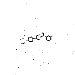 Cc1cccc(-c2cnn3cc(-c4ccc(N5CCNCC5)cc4)cnc23)c1